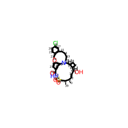 C[C@@H]1/C=C/[C@@H](O)[C@@H]2CC[C@H]2CN2CCCCc3cc(Cl)ccc3COc3ccc(cc32)C(=O)NS(=O)(=O)C[C@@H]1C